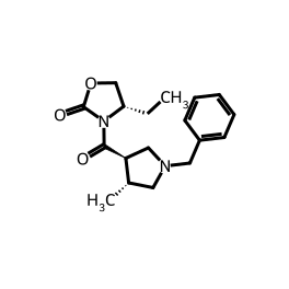 CC[C@H]1COC(=O)N1C(=O)[C@H]1CN(Cc2ccccc2)C[C@@H]1C